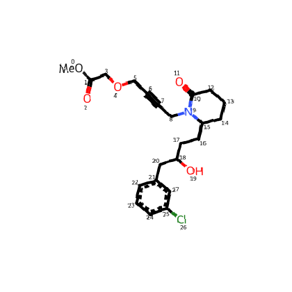 COC(=O)COCC#CCN1C(=O)CCCC1CCC(O)Cc1cccc(Cl)c1